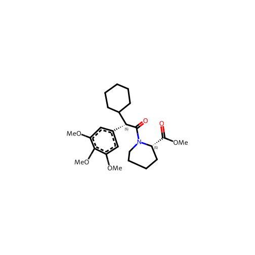 COC(=O)[C@@H]1CCCCN1C(=O)[C@H](c1cc(OC)c(OC)c(OC)c1)C1CCCCC1